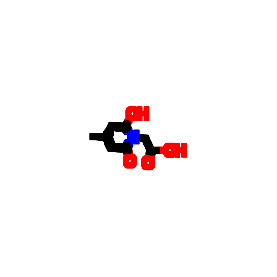 Cc1cc(O)n(CC(=O)O)c(=O)c1